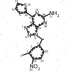 Cc1cc(Cn2nnc3c(-c4cccs4)nc(N)nc32)ccc1[N+](=O)[O-]